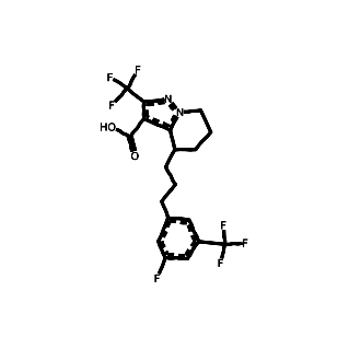 O=C(O)c1c(C(F)(F)F)nn2c1C(CCCc1cc(F)cc(C(F)(F)F)c1)CCC2